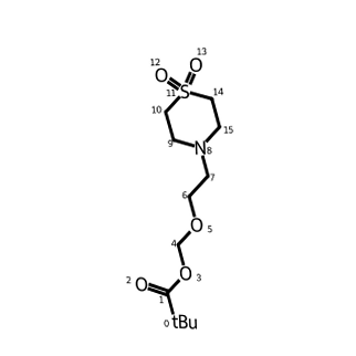 CC(C)(C)C(=O)OCOCCN1CCS(=O)(=O)CC1